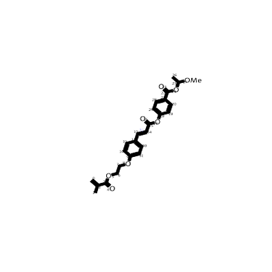 C=C(C)C(=O)OCCOc1ccc(/C=C/C(=O)Oc2ccc(C(=O)OC(C)OC)cc2)cc1